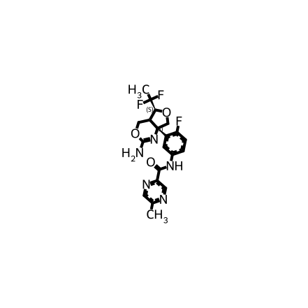 Cc1cnc(C(=O)Nc2ccc(F)c([C@]34CO[C@H](C(C)(F)F)C3COC(N)=N4)c2)cn1